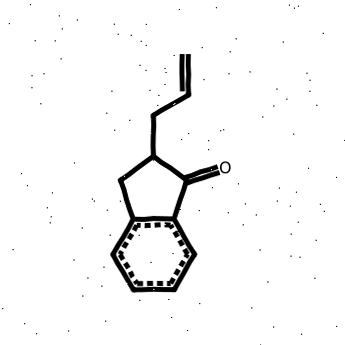 C=CC[C]1Cc2ccccc2C1=O